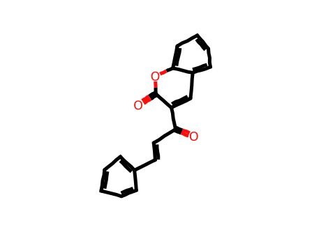 O=C(/C=C/c1ccccc1)c1cc2ccccc2oc1=O